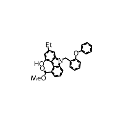 CCc1cc(O)c2c3c(C(=O)OC)cccc3n(Cc3ccccc3Oc3ccccc3)c2c1